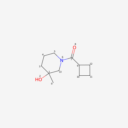 CC1(O)CCCN(C(=O)C2CCC2)C1